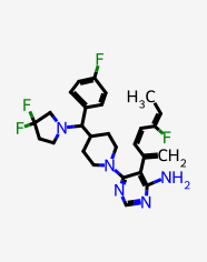 C=C(/C=C\C(F)=C/C)c1c(N)ncnc1N1CCC(C(c2ccc(F)cc2)N2CCC(F)(F)C2)CC1